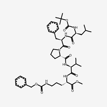 COC(=O)[C@H](CCCNC(=O)OCc1ccccc1)NC(=O)[C@@H](NC(=O)[C@@H]1CCCN1C(=O)[C@@H](Cc1ccccc1)NC(=O)[C@H](CC(C)C)NC(=O)OC(C)(C)C)C(C)C